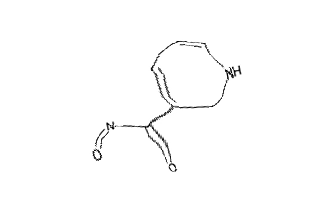 O=NC(=O)C1=CC=CNC1